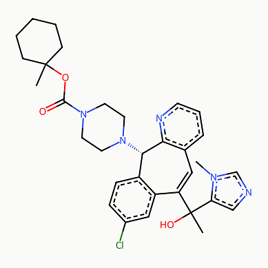 Cn1cncc1C(C)(O)C1=Cc2cccnc2[C@@H](N2CCN(C(=O)OC3(C)CCCCC3)CC2)c2ccc(Cl)cc21